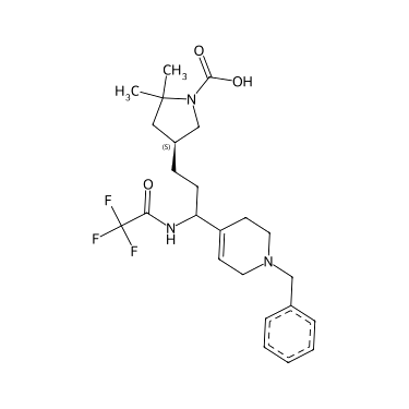 CC1(C)C[C@H](CCC(NC(=O)C(F)(F)F)C2=CCN(Cc3ccccc3)CC2)CN1C(=O)O